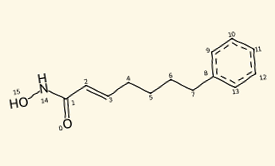 O=C(/C=C/CCCCc1ccccc1)NO